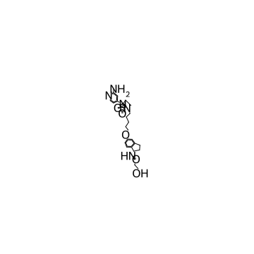 Nc1cc(N2CCN(CCCCCOc3ccc4c(c3)CCC4NOCCO)S2(=O)=O)ccn1